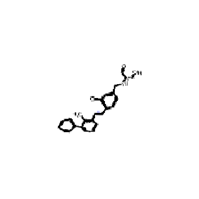 Cc1c(/C=C/c2ccc(CN[C@H](C=O)CO)cc2Cl)cccc1-c1ccccc1